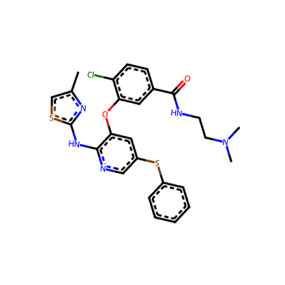 Cc1csc(Nc2ncc(Sc3ccccc3)cc2Oc2cc(C(=O)NCCN(C)C)ccc2Cl)n1